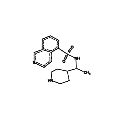 CC(NS(=O)(=O)c1cccc2cnccc12)C1CCNCC1